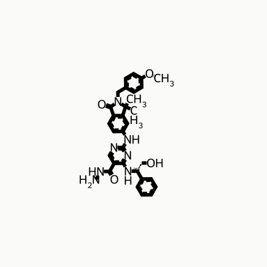 COc1ccc(CN2C(=O)c3ccc(Nc4ncc(C(=O)NN)c(N[C@H](CO)c5ccccc5)n4)cc3C2(C)C)cc1